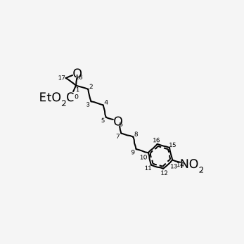 CCOC(=O)C1(CCCCOCCCc2ccc([N+](=O)[O-])cc2)CO1